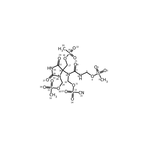 CS(=O)(=O)OCNC(=O)N(COS(=O)(=O)C#N)C1(COS(C)(=O)=O)C(=O)NC(=O)N1COS(C)(=O)=O